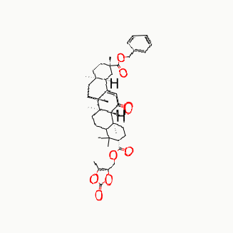 Cc1oc(=O)oc1COC(=O)[C@H]1CC[C@@]2(C)C(CC[C@]3(C)[C@@H]2C(=O)C=C2[C@@H]4C[C@@](C)(C(=O)OCc5ccccc5)CC[C@]4(C)CC[C@]23C)C1(C)C